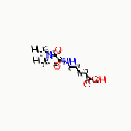 CN(C)C(=O)C(=O)NCCCCC(=O)O